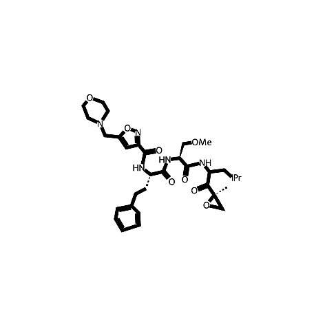 COC[C@H](NC(=O)[C@H](CCc1ccccc1)NC(=O)c1cc(CN2CCOCC2)on1)C(=O)NC(CC(C)C)C(=O)[C@@]1(C)CO1